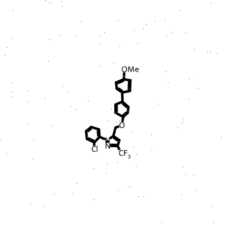 COc1ccc(-c2ccc(OCc3cc(C(F)(F)F)nn3-c3ccccc3Cl)cc2)cc1